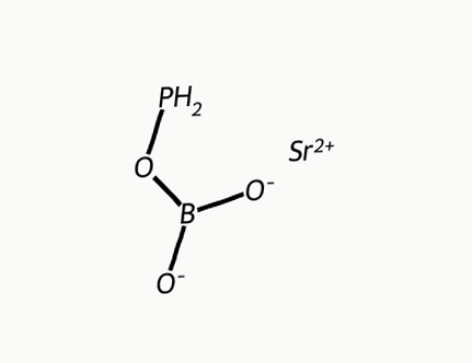 [O-]B([O-])OP.[Sr+2]